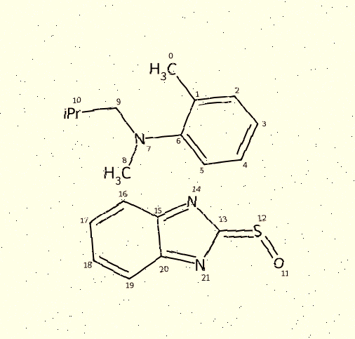 Cc1ccccc1N(C)CC(C)C.O=S=C1N=c2ccccc2=N1